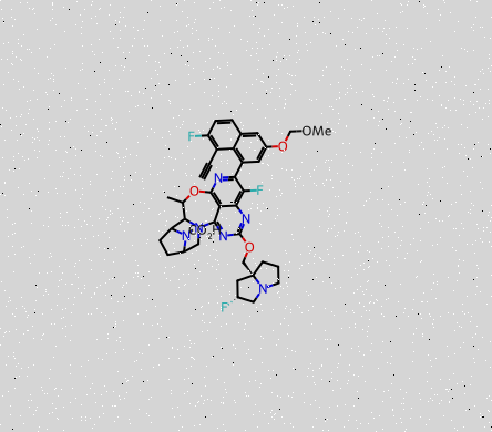 C#Cc1c(F)ccc2cc(OCOC)cc(-c3nc4c5c(nc(OC[C@@]67CCCN6C[C@H](F)C7)nc5c3F)N3CC5CCC(C3C(C)O4)N5C(=O)O)c12